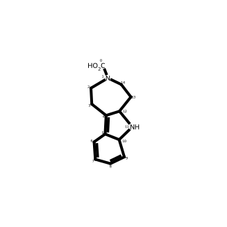 O=C(O)N1CCC2=C3C=CC=CC3NC2CC1